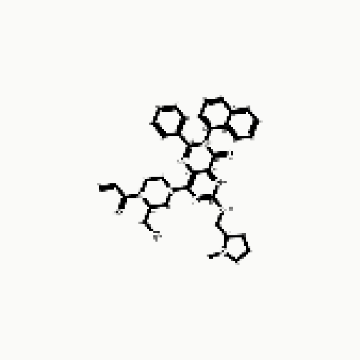 C=CC(=O)N1CCN(c2nc(OCC3CCCN3C)nc3c(=O)n(-c4cccc5ccccc45)c(-c4ccccc4)nc23)CC1CC#N